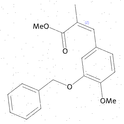 COC(=O)/C(C)=C\c1ccc(OC)c(OCc2ccccc2)c1